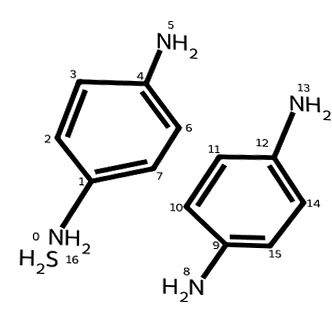 Nc1ccc(N)cc1.Nc1ccc(N)cc1.S